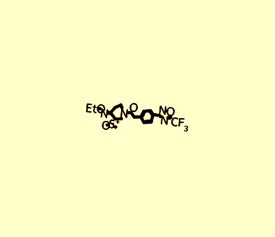 CCON=C1CCN(C(=O)Cc2ccc(-c3noc(C(F)(F)F)n3)cc2)CC1[S+](C)[O-]